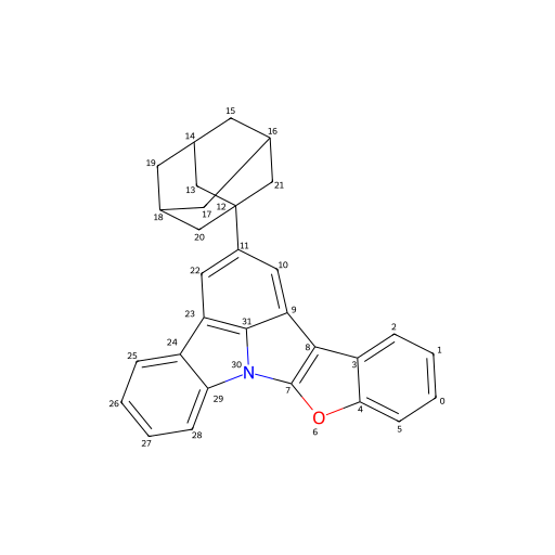 c1ccc2c(c1)oc1c2c2cc(C34CC5CC(CC(C5)C3)C4)cc3c4ccccc4n1c32